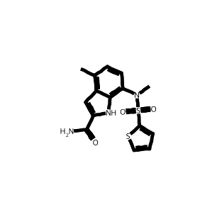 Cc1ccc(N(C)S(=O)(=O)c2cccs2)c2[nH]c(C(N)=O)cc12